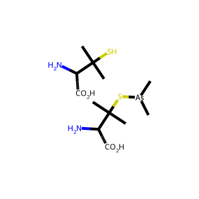 CC(C)(S)C(N)C(=O)O.C[As](C)SC(C)(C)C(N)C(=O)O